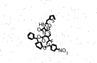 O=C(Cc1cccs1)NC1C(=O)N2C(C(=O)OC(c3ccccc3)c3ccccc3)=C(C(F)C[S+]([O-])c3ccc([N+](=O)[O-])cc3)CS[C@H]12